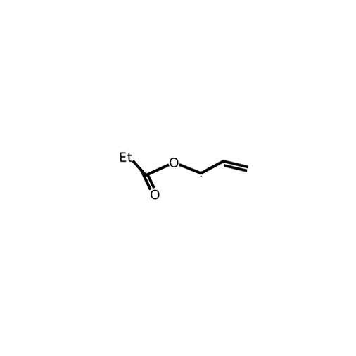 C=C[CH]OC(=O)CC